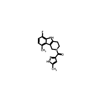 Cc1cc(C(=O)N2CCc3[nH]c4c(F)ccc(C)c4c3C2)n[nH]1